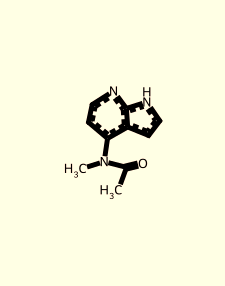 CC(=O)N(C)c1ccnc2[nH]ccc12